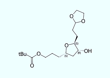 CC(C)(C)C(=O)OCCC[C@H]1C[C@@H](O)[C@H](CCC2OCCO2)O1